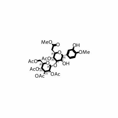 COC(=O)C[C@H]1O[C@H](c2ccc(OC)c(O)c2)[C@@H](O)[C@@H](O[C@H]2O[C@H](COC(C)=O)[C@@H](OC(C)=O)[C@H](OC(C)=O)[C@@H]2OC(C)=O)[C@@H]1OC(C)=O